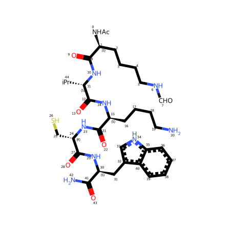 CC(=O)N[C@@H](CCCCNC=O)C(=O)N[C@H](C(=O)N[C@@H](CCCCN)C(=O)N[C@@H](CS)C(=O)N[C@@H](Cc1c[nH]c2ccccc12)C(N)=O)C(C)C